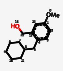 COc1ccc(CC2CCCCC2)c(CO)c1